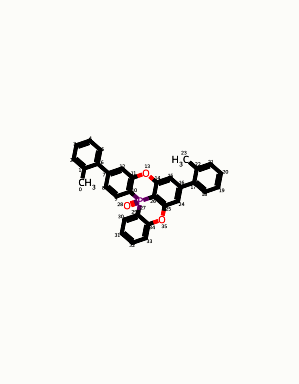 Cc1ccccc1-c1ccc2c(c1)Oc1cc(-c3ccccc3C)cc3c1P2(=O)c1ccccc1O3